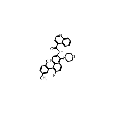 Cc1ccc(Cl)c(-c2c(F)ccc3c(N4CCOCC4)c(NC(=O)c4ccnc5ccccc45)cnc23)c1